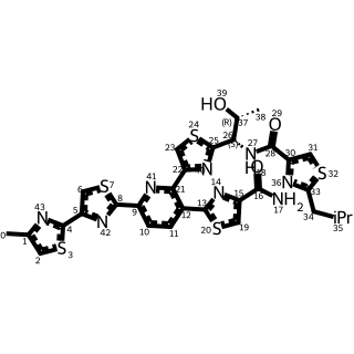 Cc1csc(-c2csc(-c3ccc(-c4nc(C(N)=O)cs4)c(-c4csc([C@@H](NC(=O)c5csc(CC(C)C)n5)[C@@H](C)O)n4)n3)n2)n1